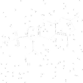 COC(=O)c1c(Oc2c(F)cc(Br)cc2F)nsc1S(C)(=O)=O